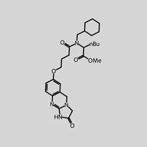 CCCCC(C(=O)OC)N(CC1CCCCC1)C(=O)CCCOc1ccc2c(c1)CN1CC(=O)NC1=N2